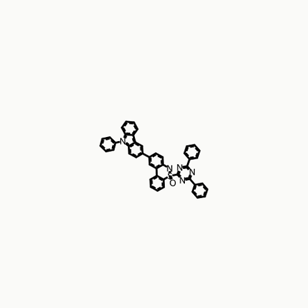 O=S1(c2nc(-c3ccccc3)nc(-c3ccccc3)n2)=Nc2ccc(-c3ccc4c(c3)c3ccccc3n4-c3ccccc3)cc2-c2ccccc21